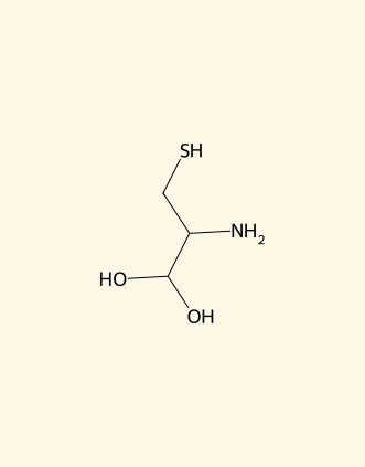 NC(CS)C(O)O